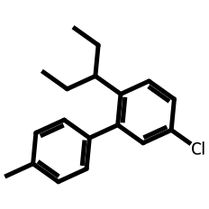 CCC(CC)c1ccc(Cl)cc1-c1ccc(C)cc1